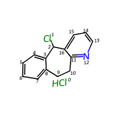 Cl.ClC1c2ccccc2CCc2ncccc21